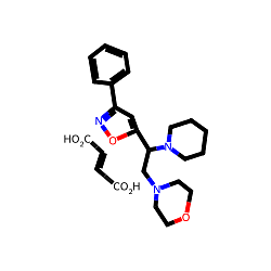 O=C(O)/C=C/C(=O)O.c1ccc(-c2cc(C(CN3CCOCC3)N3CCCCC3)on2)cc1